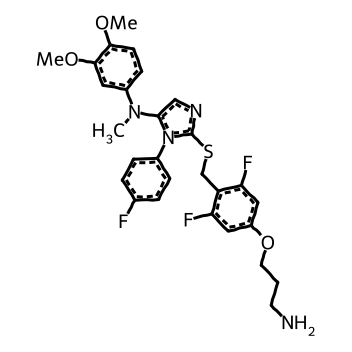 COc1ccc(N(C)c2cnc(SCc3c(F)cc(OCCCN)cc3F)n2-c2ccc(F)cc2)cc1OC